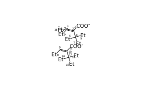 CCC=C(C(=O)[O-])C(CC)(CC)CC.CCC=C(C(=O)[O-])C(CC)(CC)CC.[Pb+2]